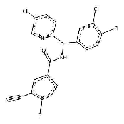 N#Cc1cc(C(=O)NC(c2ccc(Cl)c(Cl)c2)c2ccc(Cl)cn2)ccc1F